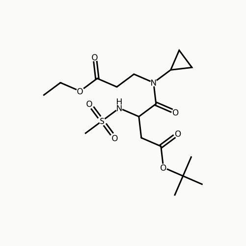 CCOC(=O)CCN(C(=O)C(CC(=O)OC(C)(C)C)NS(C)(=O)=O)C1CC1